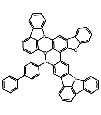 c1ccc(-c2ccc(N3B4c5c(cc6c(oc7ccccc76)c5-c5cc6c(cc53)c3cccc5c7ccccc7n6c53)-n3c5ccccc5c5cccc4c53)cc2)cc1